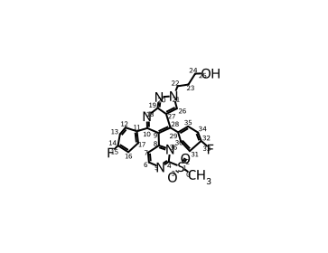 CS(=O)(=O)c1nccc(-c2c(-c3ccc(F)cc3)nc3nn(CCCO)cc3c2-c2ccc(F)cc2)n1